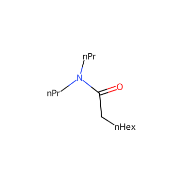 CCCCCCCC(=O)N(CCC)CCC